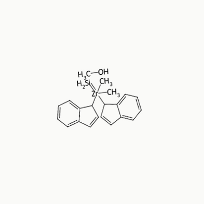 CO.[CH3][Zr]([CH3])(=[SiH2])([CH]1C=Cc2ccccc21)[CH]1C=Cc2ccccc21